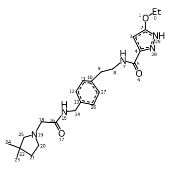 CCOc1cc(C(=O)NCCc2ccc(CNC(=O)CN3CCC(C)(C)C3)cc2)n[nH]1